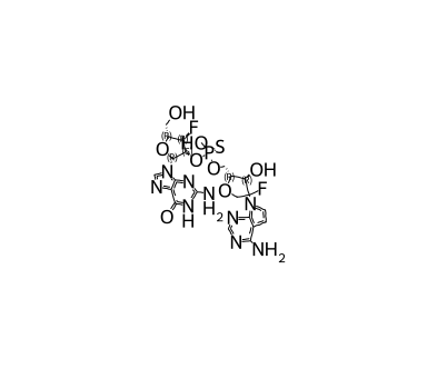 Nc1nc2c(ncn2[C@@H]2O[C@H](CO)[C@@H](F)[C@H]2OP(O)(=S)OC[C@H]2OCC(F)(n3ccc4c(N)ncnc43)[C@@H]2O)c(=O)[nH]1